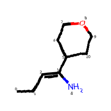 CC/C=C(\N)C1CCOCC1